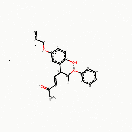 C=CCOc1ccc(O)c(C(C=CC(=O)OC)C(C)Oc2ccccc2)c1